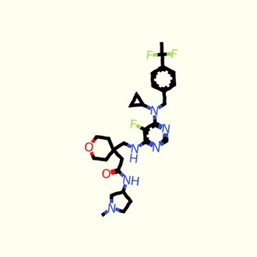 CN1CCC(NC(=O)CC2(CNc3ncnc(N(Cc4ccc(C(C)(F)F)cc4)C4CC4)c3F)CCOCC2)C1